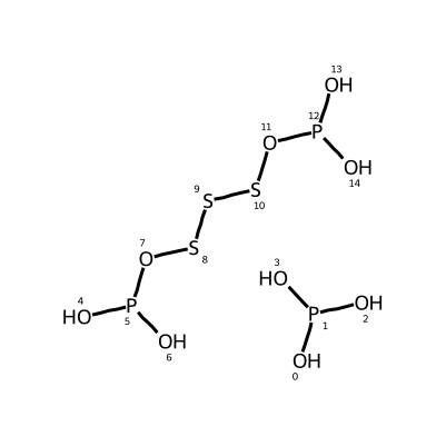 OP(O)O.OP(O)OSSSOP(O)O